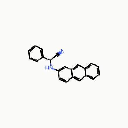 N#CC(Nc1ccc2cc3ccccc3cc2c1)c1ccccc1